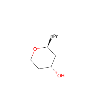 CCC[C@H]1C[C@H](O)CCO1